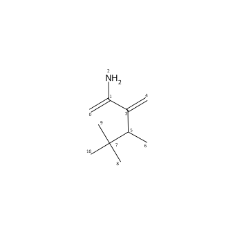 C=C(N)C(=C)C(C)C(C)(C)C